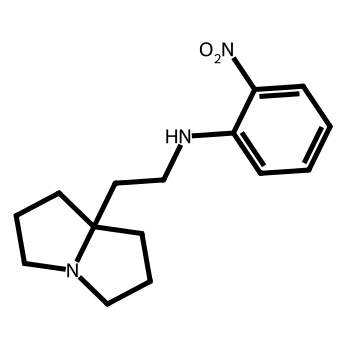 O=[N+]([O-])c1ccccc1NCCC12CCCN1CCC2